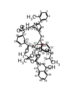 Cc1ccccc1-c1cc2nc(n1)NS(=O)(=O)c1cccc(c1)C(=O)N1Cc3cc(CC(C)C[C@@H]4[C@@H](O)c5ccccc5CN4C(=O)OC(C)(C)C)ccc3C(C2)[C@H]1CC(C)C